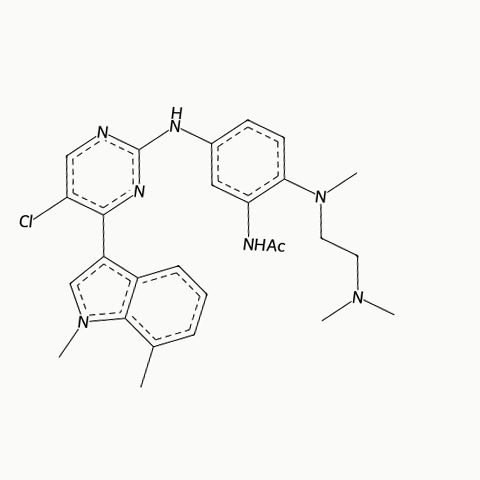 CC(=O)Nc1cc(Nc2ncc(Cl)c(-c3cn(C)c4c(C)cccc34)n2)ccc1N(C)CCN(C)C